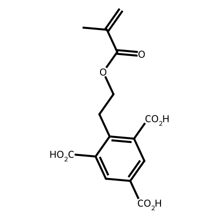 C=C(C)C(=O)OCCc1c(C(=O)O)cc(C(=O)O)cc1C(=O)O